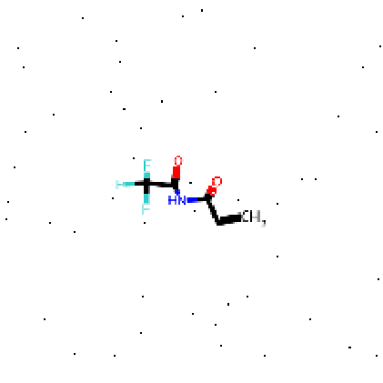 C=CC(=O)NC(=O)C(F)(F)F